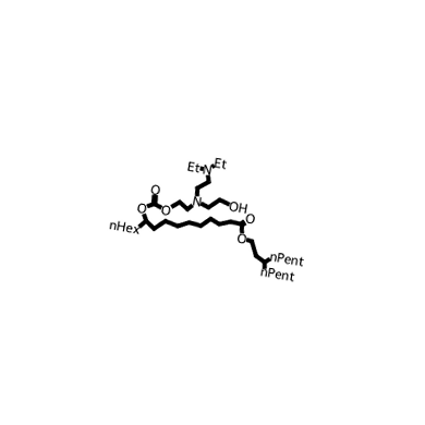 CCCCCCC(CCCCCCCCC(=O)OCCC(CCCCC)CCCCC)OC(=O)OCCN(CCO)CCN(CC)CC